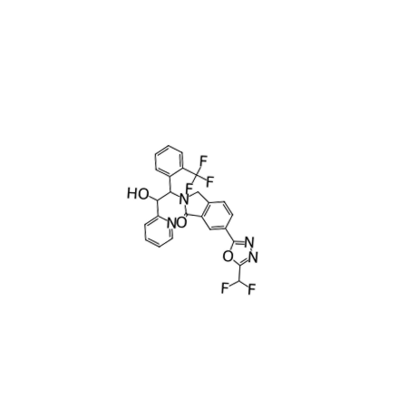 O=C1c2cc(-c3nnc(C(F)F)o3)ccc2CN1C(c1ccccc1C(F)(F)F)C(O)c1ccccn1